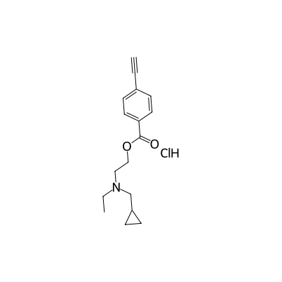 C#Cc1ccc(C(=O)OCCN(CC)CC2CC2)cc1.Cl